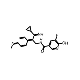 C=CC(/C=C\C=N/C)=C(/CNC(=O)c1cnc(O)c(F)c1)C(=N)C1CC1